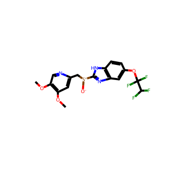 COc1cnc(C[S+]([O-])c2nc3cc(OC(F)(F)C(F)F)ccc3[nH]2)cc1OC